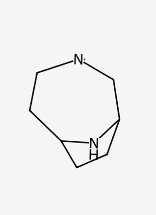 C1CC2CCC(C[N]1)N2